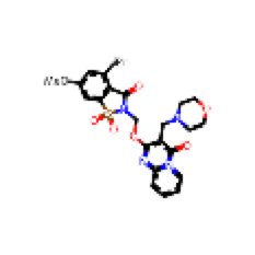 COc1cc(C(C)C)c2c(c1)S(=O)(=O)N(COc1nc3ccccn3c(=O)c1CN1CCOCC1)C2=O